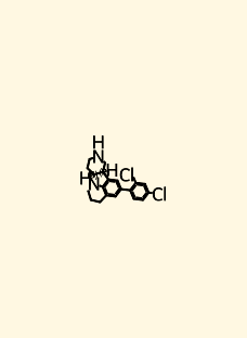 Clc1ccc(-c2cc3c4c(c2)[C@@H]2CNCC[C@@H]2N4CCC3)c(Cl)c1